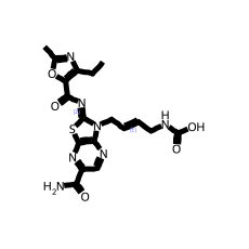 CCc1nc(C)oc1C(=O)/N=c1\sc2nc(C(N)=O)cnc2n1C/C=C/CNC(=O)O